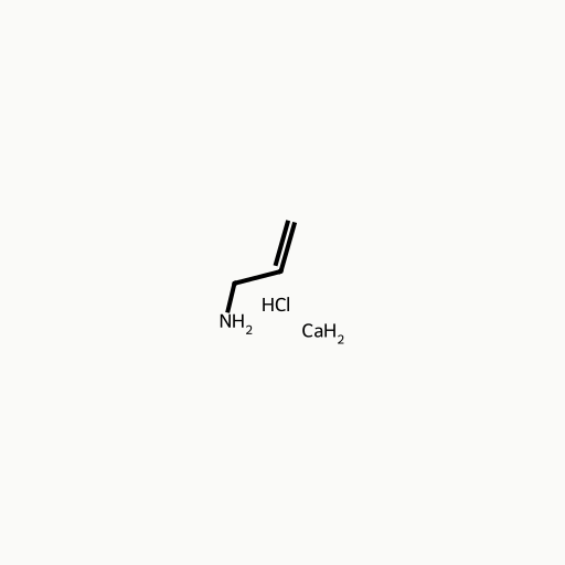 C=CCN.Cl.[CaH2]